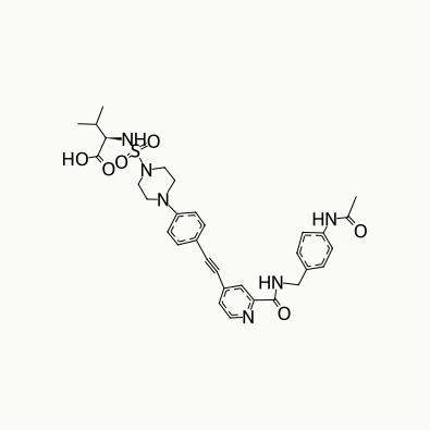 CC(=O)Nc1ccc(CNC(=O)c2cc(C#Cc3ccc(N4CCN(S(=O)(=O)N[C@@H](C(=O)O)C(C)C)CC4)cc3)ccn2)cc1